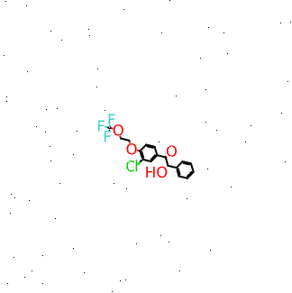 O=C(c1ccc(OCCOC(F)(F)F)c(Cl)c1)C(O)c1ccccc1